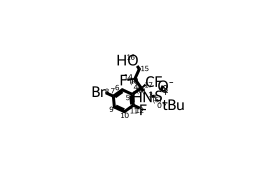 CC(C)(C)[S@@+]([O-])N[C@](c1cc(Br)ccc1F)([C@@H](F)CO)C(F)(F)F